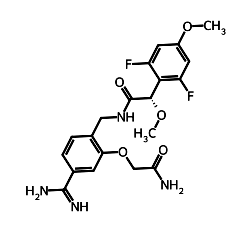 COc1cc(F)c([C@H](OC)C(=O)NCc2ccc(C(=N)N)cc2OCC(N)=O)c(F)c1